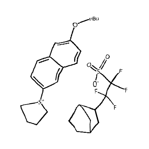 CCCCOc1ccc2cc([S+]3CCCC3)ccc2c1.O=S(=O)([O-])C(F)(F)C(F)(F)C1CC2CCC1C2